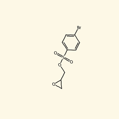 O=S(=O)(OCC1CO1)c1ccc(Br)cc1